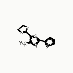 Cc1nc(-c2cccs2)sc1C1=NCCS1